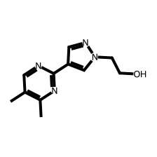 Cc1cnc(-c2cnn(CCO)c2)nc1C